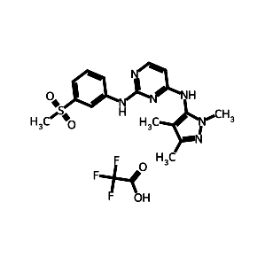 Cc1nn(C)c(Nc2ccnc(Nc3cccc(S(C)(=O)=O)c3)n2)c1C.O=C(O)C(F)(F)F